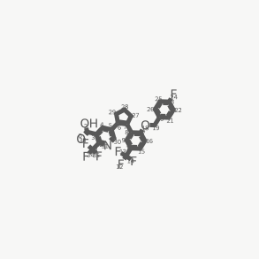 O=C(O)c1cc(C2=C(c3cc(C(F)(F)F)ccc3OCc3ccc(F)cc3)CCC2)cnc1C(F)(F)F